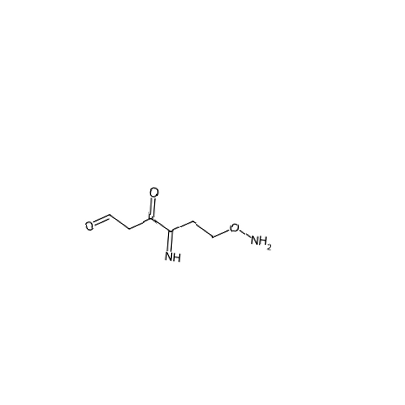 N=C(CCON)C(=O)CC=O